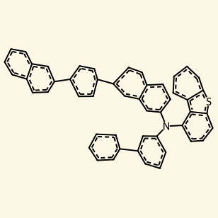 c1ccc(-c2cccc(N(c3ccc4ccc(-c5ccc(-c6ccc7ccccc7c6)cc5)cc4c3)c3cccc4sc5ccccc5c34)c2)cc1